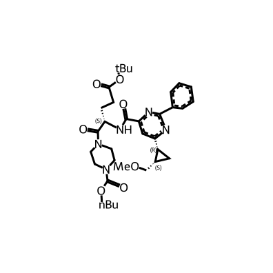 CCCCOC(=O)N1CCN(C(=O)[C@H](CCC(=O)OC(C)(C)C)NC(=O)c2cc([C@@H]3C[C@@H]3COC)nc(-c3ccccc3)n2)CC1